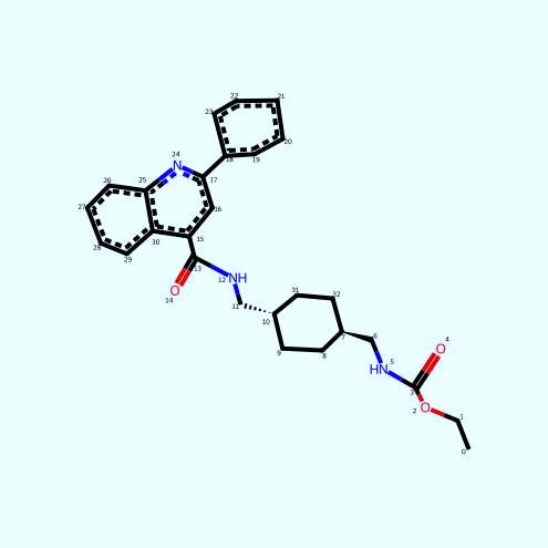 CCOC(=O)NC[C@H]1CC[C@H](CNC(=O)c2cc(-c3ccccc3)nc3ccccc23)CC1